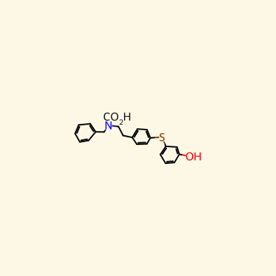 O=C(O)N(CCc1ccc(Sc2cccc(O)c2)cc1)Cc1ccccc1